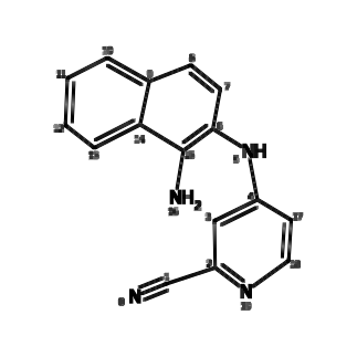 N#Cc1cc(Nc2ccc3ccccc3c2N)ccn1